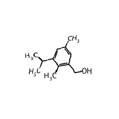 Cc1cc(CO)c(C)c(C(C)C)c1